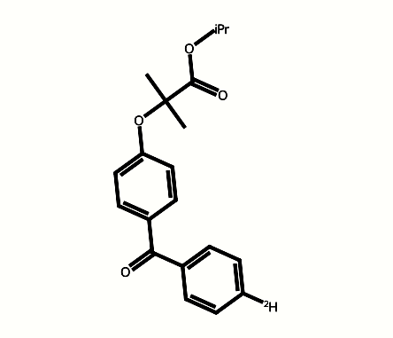 [2H]c1ccc(C(=O)c2ccc(OC(C)(C)C(=O)OC(C)C)cc2)cc1